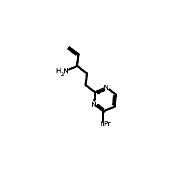 C=CC(N)CCc1nccc(CCC)n1